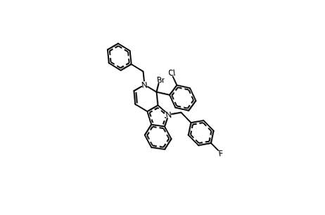 Fc1ccc(Cn2c3c(c4ccccc42)C=CN(Cc2ccccc2)C3(Br)c2ccccc2Cl)cc1